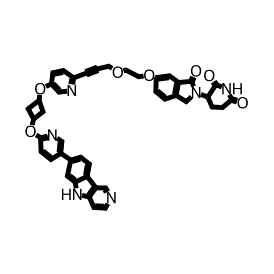 O=C1CCC(N2Cc3ccc(OCCOCC#Cc4ccc(OC5CC(Oc6ccc(-c7ccc8c(c7)[nH]c7ccncc78)cn6)C5)cn4)cc3C2=O)C(=O)N1